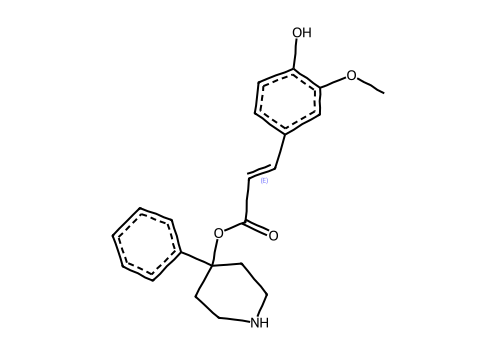 COc1cc(/C=C/C(=O)OC2(c3ccccc3)CCNCC2)ccc1O